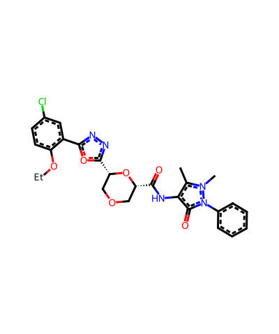 CCOc1ccc(Cl)cc1-c1nnc([C@H]2COC[C@@H](C(=O)Nc3c(C)n(C)n(-c4ccccc4)c3=O)O2)o1